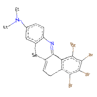 CCN(CC)c1ccc2c(c1)[Se]C1=CCc3c(Br)c(Br)c(Br)c(Br)c3C1=N2